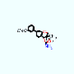 COc1cccc(-c2ccc3c(c2)OCC(C)(C)C3OC(N)=O)c1